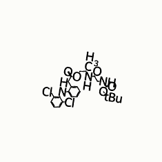 CC(COC(=O)Cc1ccccc1Nc1c(Cl)cccc1Cl)NC(=O)CNC(=O)OC(C)(C)C